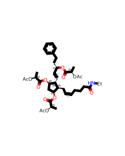 CCNC(=O)CCC/C=C\C[C@@H]1[C@@H](/C=C/[C@H](CCc2ccccc2)OC(=O)[C@H](C)OC(C)=O)[C@H](OC(=O)[C@H](C)OC(C)=O)C[C@@H]1OC(=O)[C@H](C)OC(C)=O